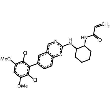 C=CC(=O)N[C@H]1CCCCC1Nc1ncc2cc(-c3c(Cl)c(OC)cc(OC)c3Cl)ccc2n1